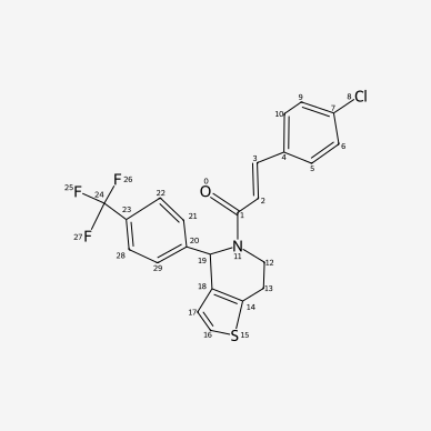 O=C(C=Cc1ccc(Cl)cc1)N1CCc2sccc2C1c1ccc(C(F)(F)F)cc1